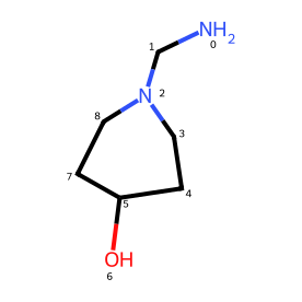 NCN1CCC(O)CC1